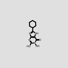 CCCn1c(O)nc2nc(C3CCCCC3)[nH]c2c1=O